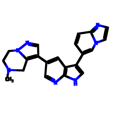 CN1CCn2ncc(-c3cnc4[nH]cc(-c5ccc6nccn6c5)c4c3)c2C1